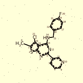 Cc1sc2nc(-c3cccnc3)nc(NCc3ccc(F)cc3)c2c1Cl